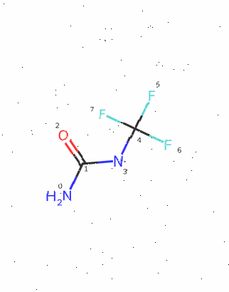 NC(=O)[N]C(F)(F)F